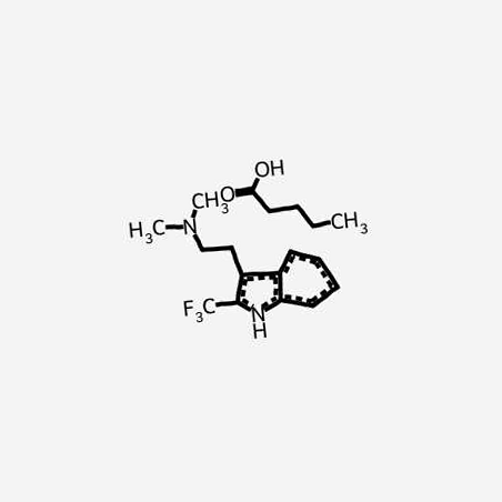 CCCCC(=O)O.CN(C)CCc1c(C(F)(F)F)[nH]c2ccccc12